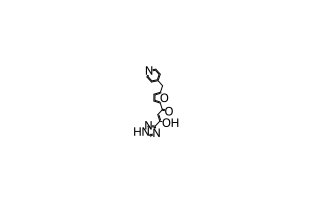 O=C(C=C(O)c1nc[nH]n1)c1ccc(Cc2ccncc2)o1